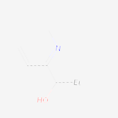 C=CC(=NC)C(O)CC